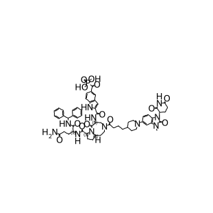 Cn1c(=O)n(C2CCC(=O)NC2=O)c2ccc(N3CCC(CCCC(=O)N4CC[C@H]5CC[C@@H](C(=O)N[C@@H](CCC(N)=O)C(=O)NC(c6ccccc6)c6ccccc6)N5C(=O)[C@@H](NC(=O)c5cc6cc(C(=O)P(=O)(O)O)ccc6[nH]5)C4)CC3)cc21